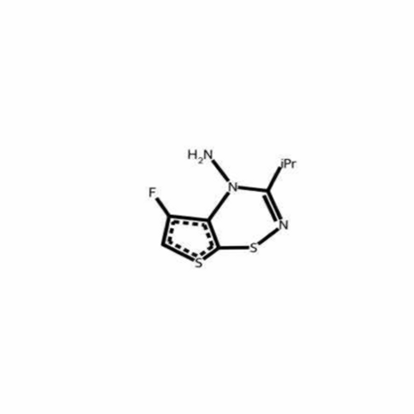 CC(C)C1=NSc2scc(F)c2N1N